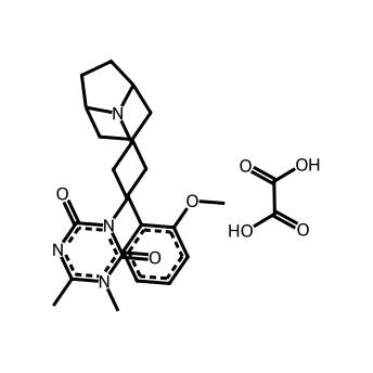 COc1ccccc1CCC1CC2CCC(C1)N2CCCn1c(=O)nc(C)n(C)c1=O.O=C(O)C(=O)O